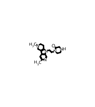 Cc1cc2c3c(n(CCN4CCNCC4=O)c2cn1)CCN(C)C3